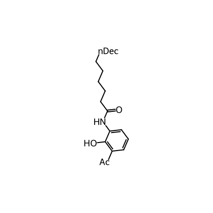 CCCCCCCCCCCCCCCC(=O)Nc1cccc(C(C)=O)c1O